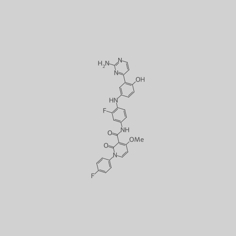 COc1ccn(-c2ccc(F)cc2)c(=O)c1C(=O)Nc1ccc(Nc2ccc(O)c(-c3ccnc(N)n3)c2)c(F)c1